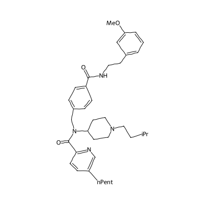 CCCCCc1ccc(C(=O)N(Cc2ccc(C(=O)NCCc3cccc(OC)c3)cc2)C2CCN(CCC(C)C)CC2)nc1